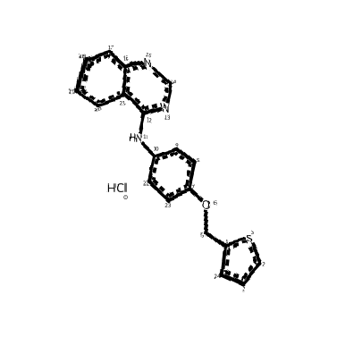 Cl.c1csc(COc2ccc(Nc3ncnc4ccccc34)cc2)c1